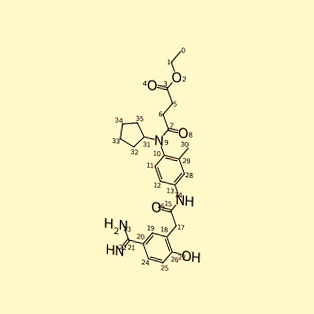 CCOC(=O)CCC(=O)N(c1ccc(NC(=O)Cc2cc(C(=N)N)ccc2O)cc1C)C1CCCC1